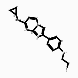 FCCOc1ccc(-c2cn3ccc(NC4CC4)nc3n2)cc1